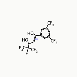 O/C(=C\C(O)C(F)(C(F)(F)F)C(F)(F)F)c1cc(C(F)(F)F)cc(C(F)(F)F)c1